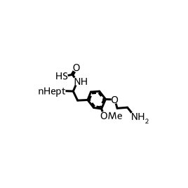 CCCCCCCC(Cc1ccc(OCCN)c(OC)c1)NC(=O)S